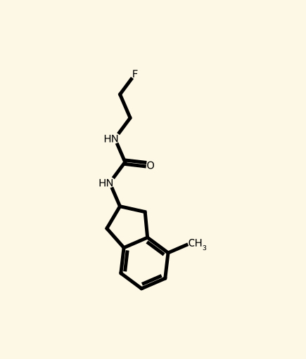 Cc1cccc2c1CC(NC(=O)NCCF)C2